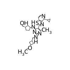 CCO[C@H]1C[C@@H](CNc2nc(C)c(-c3nc4c(C5CC5)nccc4s3)c(N[C@H]3CC[C@@H](CO)C3)n2)C1